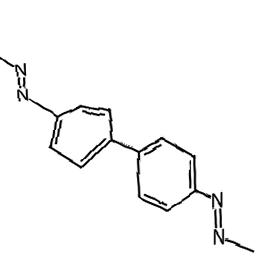 CN=Nc1ccc(-c2ccc(N=NC)cc2)cc1